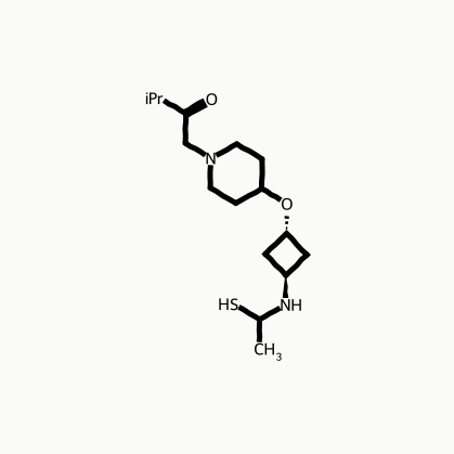 CC(S)N[C@H]1C[C@H](OC2CCN(CC(=O)C(C)C)CC2)C1